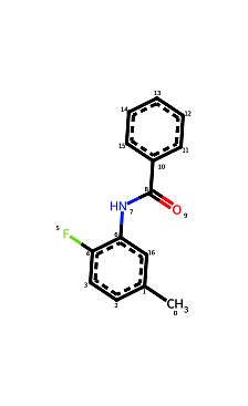 Cc1ccc(F)c(NC(=O)c2ccccc2)c1